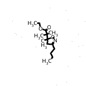 CCCCC1=NOC(C)(C(C)(C)C(=O)OCC)C1